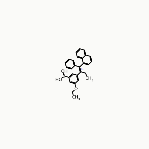 CCOc1cc(B(O)O)cc(/C(CC)=C(\c2ccccc2)c2cccc3ccccc23)c1